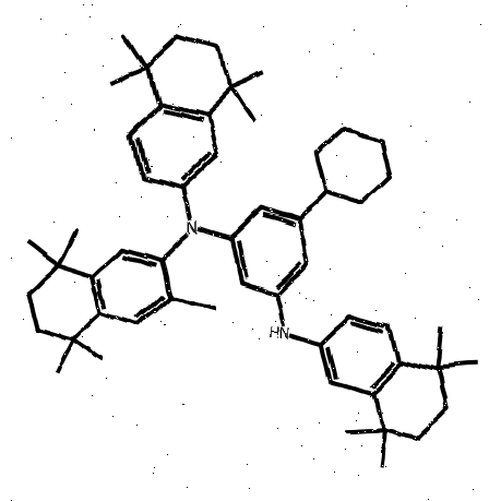 Cc1cc2c(cc1N(c1cc(Nc3ccc4c(c3)C(C)(C)CCC4(C)C)cc(C3CCCCC3)c1)c1ccc3c(c1)C(C)(C)CCC3(C)C)C(C)(C)CCC2(C)C